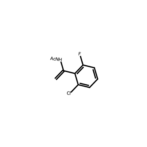 C=C(NC(C)=O)c1c(F)cccc1Cl